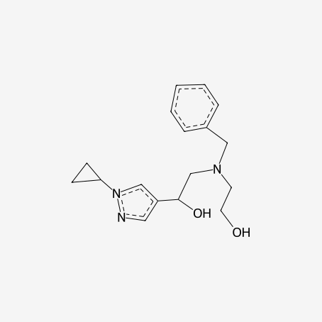 OCCN(Cc1ccccc1)CC(O)c1cnn(C2CC2)c1